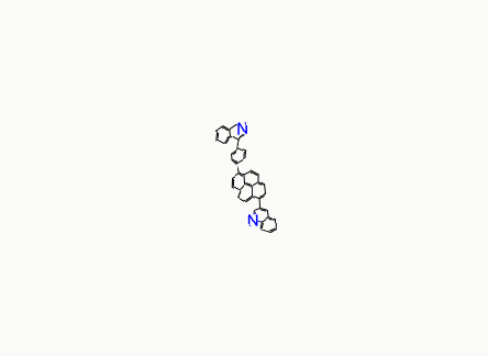 c1ccc2ncc(-c3ccc4ccc5c(-c6ccc(-c7cncc8ccccc78)cc6)ccc6ccc3c4c65)cc2c1